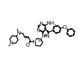 CN1CCC(N(C)C/C=C/C(=O)N2CCC[C@@H](n3nc(-c4ccc(Oc5ccccc5)cc4)c4c(N)ncnc43)C2)CC1